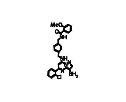 Bc1cnn2c(NCc3ccc(CNC(=O)c4ccccc4OC)cc3)cc(-c3ccccc3Cl)nc12